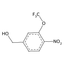 O=[N+]([O-])c1ccc(CO)cc1OC(F)(F)F